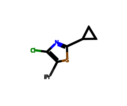 CC(C)c1sc(C2CC2)nc1Cl